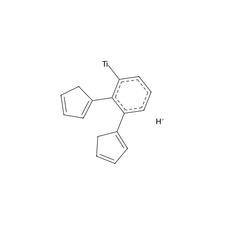 [H-].[Ti][c]1cccc(C2=CC=CC2)c1C1=CC=CC1